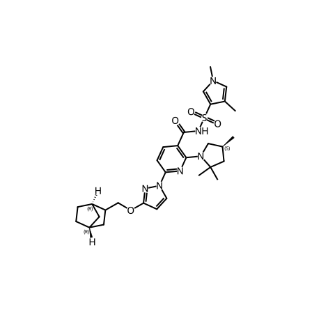 Cc1cn(C)cc1S(=O)(=O)NC(=O)c1ccc(-n2ccc(OCC3C[C@@H]4CC[C@@H]3C4)n2)nc1N1C[C@@H](C)CC1(C)C